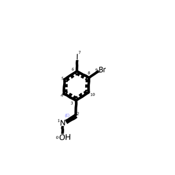 O/N=C/c1ccc(I)c(Br)c1